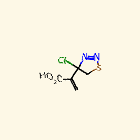 C=C(C(=O)O)C1(Cl)CSN=N1